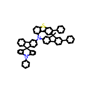 CC1(C)c2cc(-c3ccccc3)ccc2-c2ccc(N(c3ccc4c(c3)-c3ccccc3C43c4ccccc4N(c4ccccc4)c4ccccc43)c3cccc4sc5cc(-c6ccccc6)ccc5c34)cc21